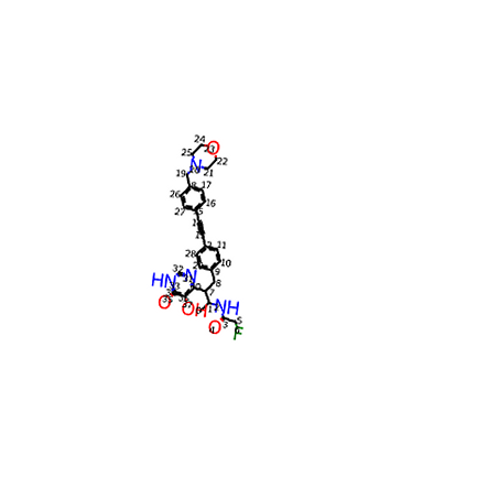 CC(NC(=O)CF)C(Cc1ccc(C#Cc2ccc(CN3CCOCC3)cc2)cc1)c1nc[nH]c(=O)c1O